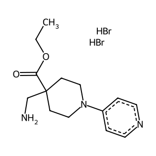 Br.Br.CCOC(=O)C1(CN)CCN(c2ccncc2)CC1